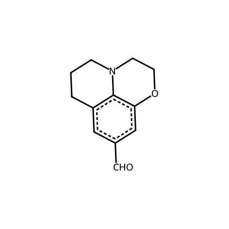 O=Cc1cc2c3c(c1)OCCN3CCC2